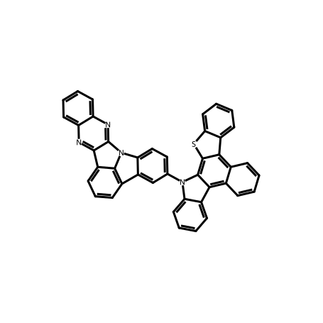 c1ccc2nc3c(nc2c1)c1cccc2c4cc(-n5c6ccccc6c6c7ccccc7c7c8ccccc8sc7c65)ccc4n3c21